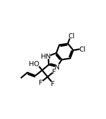 C/C=C/C(O)(c1nc2cc(Cl)c(Cl)cc2[nH]1)C(F)(F)F